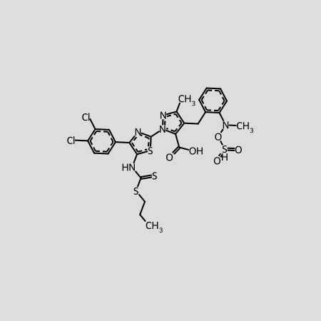 CCCSC(=S)Nc1sc(-n2nc(C)c(Cc3ccccc3N(C)O[SH](=O)=O)c2C(=O)O)nc1-c1ccc(Cl)c(Cl)c1